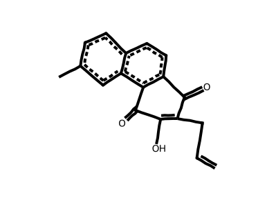 C=CCC1=C(O)C(=O)c2c(ccc3ccc(C)cc23)C1=O